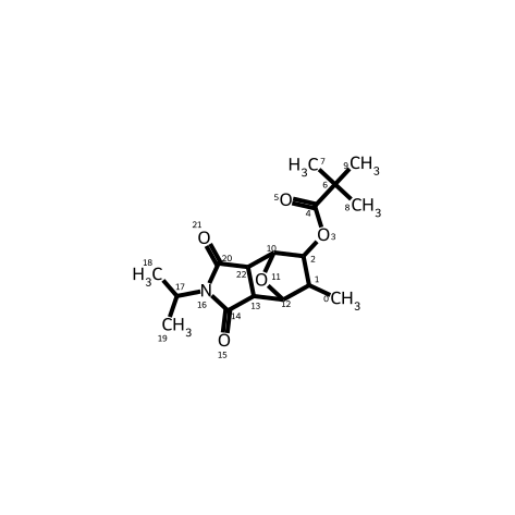 CC1C(OC(=O)C(C)(C)C)C2OC1C1C(=O)N(C(C)C)C(=O)C21